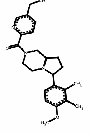 CCc1ccc(C(=O)N2CCN3C(CCC3c3ccc(OC)c(C)c3C)C2)nc1